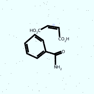 NC(=O)c1ccccc1.O=C(O)/C=C\C(=O)O